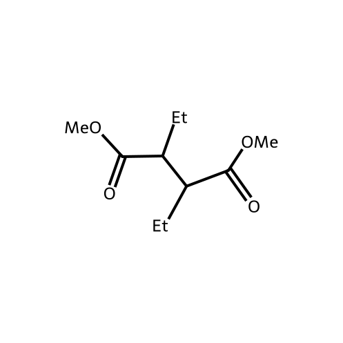 CCC(C(=O)OC)C(CC)C(=O)OC